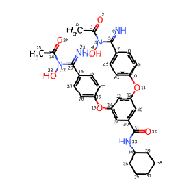 CC(=O)N(O)C(=N)c1ccc(Oc2cc(Oc3ccc(C(=N)N(O)C(C)=O)cc3)cc(C(=O)NC3CCCCC3)c2)cc1